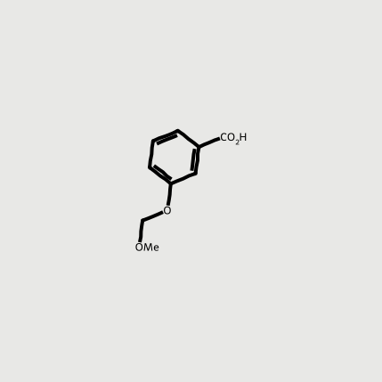 COCOc1cccc(C(=O)O)c1